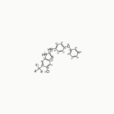 FC(F)(F)c1cc2[nH]c(Nc3ccc(Oc4cccnc4)cc3)nc2cc1Cl